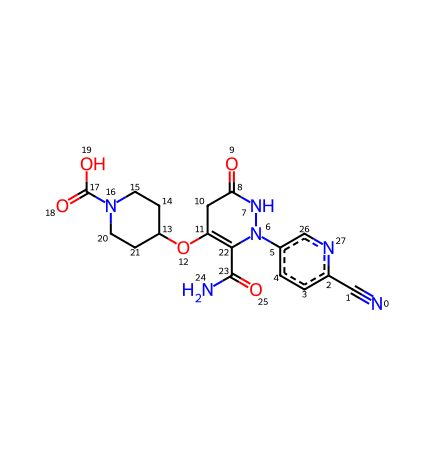 N#Cc1ccc(N2NC(=O)CC(OC3CCN(C(=O)O)CC3)=C2C(N)=O)cn1